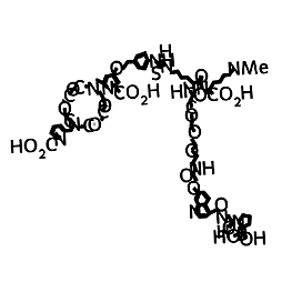 CNCCCCC(NC(=O)C(CCCCNC(=S)Nc1ccc(CCOc2cc(CN3CCOCCOCCN(Cc4cccc(C(=O)O)n4)CCOCCOCC3)nc(C(=O)O)c2)cc1)NC(=O)CCOCCOCCOCCNC(=O)COc1ccc2c(C(=O)NCC(=O)N3CCCC3B(O)O)ccnc2c1)C(=O)O